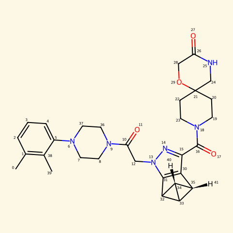 Cc1cccc(N2CCN(C(=O)Cn3nc(C(=O)N4CCC5(CC4)CNC(=O)CO5)c4c3C3C5[C@H]3[C@H]45)CC2)c1C